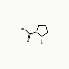 [CH2][C@H]1CCCN1C(=O)C(C)(C)C